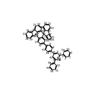 c1ccc(-c2cc(-c3ccc(-c4ccc5c(c4)C4(c6ccccc6-c6ccccc64)c4cccc6c7ccccc7n-5c46)cc3)cc(-c3ccccc3)n2)cc1